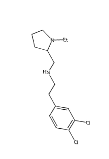 CCN1CCCC1CNCCc1ccc(Cl)c(Cl)c1